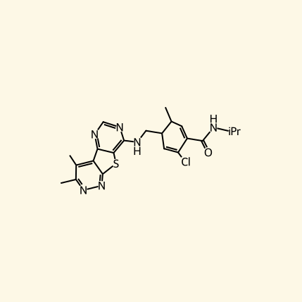 Cc1nnc2sc3c(NCC4C=C(Cl)C(C(=O)NC(C)C)=CC4C)ncnc3c2c1C